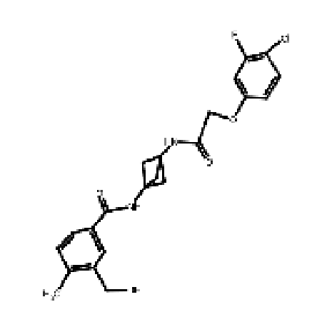 Cc1ccc(C(=O)NC23CC(NC(=O)COc4ccc(Cl)c(F)c4)(C2)C3)cc1CO